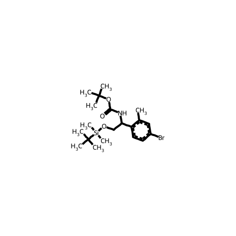 Cc1cc(Br)ccc1C(CO[Si](C)(C)C(C)(C)C)NC(=O)OC(C)(C)C